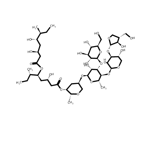 CC[C@H](C)[C@H](C[C@H](O)CC(=O)O[C@@H]1C[C@@H](O[C@@H]2O[C@@H](C)[C@H](O[C@@H]3OC[C@@H](O)[C@H](O[C@@H]4OC[C@H](CO)[C@H]4O)[C@H]3O)[C@@H](O[C@@H]3O[C@H](CO)[C@@H](O)[C@H](O)[C@H]3O)[C@H]2O)CO[C@@H]1C)OC(=O)C[C@@H](O)C[C@H](O)[C@@H](C)CC